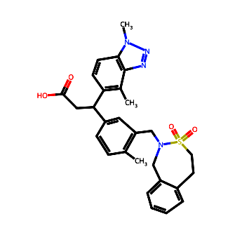 Cc1ccc(C(CC(=O)O)c2ccc3c(nnn3C)c2C)cc1CN1Cc2ccccc2CCS1(=O)=O